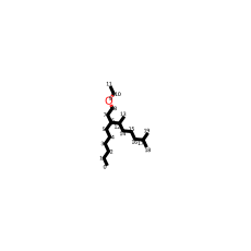 CCCCCC[C](CCOCC)C(C)CCCC(C)C